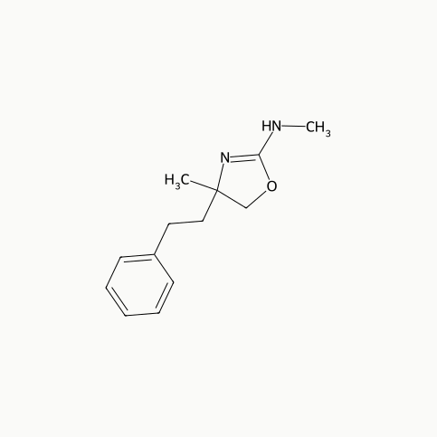 CNC1=NC(C)(CCc2ccccc2)CO1